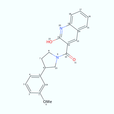 COc1cccc(C2CCN(C(=O)c3cc4ccccc4nc3O)C2)c1